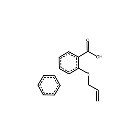 C=CCSc1ccccc1C(=O)O.c1ccccc1